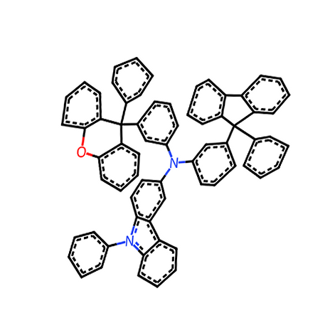 c1ccc(-n2c3ccccc3c3cc(N(c4cccc(C5(c6ccccc6)c6ccccc6Oc6ccccc65)c4)c4cccc(C5(c6ccccc6)c6ccccc6-c6ccccc65)c4)ccc32)cc1